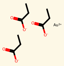 CCC(=O)[O-].CCC(=O)[O-].CCC(=O)[O-].[Au+3]